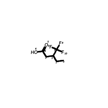 CCC(CC(=O)O)C(F)(F)F